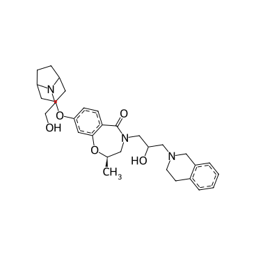 C[C@@H]1CN(CC(O)CN2CCc3ccccc3C2)C(=O)c2ccc(OC3CC4CCC(C3)N4CCO)cc2O1